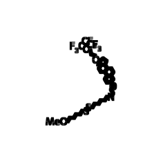 COCCCCCCSSCCCCCCN(C)CCOc1ccc2c(c1)CCC1C2CCC2(C)C(OCCCOC(C(F)(F)F)(C(F)(F)F)C(F)(F)F)CCC12